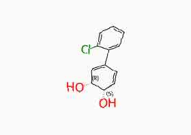 O[C@@H]1C=C(c2ccccc2Cl)C=C[C@@H]1O